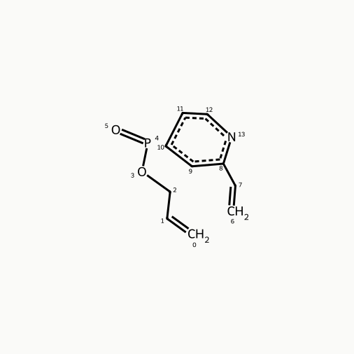 C=CCOP=O.C=Cc1ccccn1